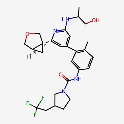 Cc1ccc(NC(=O)N2CCC(CC(F)(F)F)C2)cc1-c1cc(NC(C)CO)nc([C@@]23COC[C@@H]2C3)c1